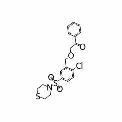 O=C(COCc1cc(S(=O)(=O)N2CCSCC2)ccc1Cl)c1ccccc1